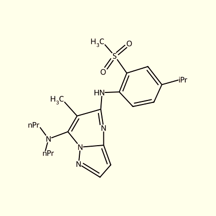 CCCN(CCC)c1c(C)c(Nc2ccc(C(C)C)cc2S(C)(=O)=O)nc2ccnn12